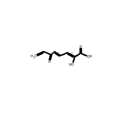 C=CC(=O)/C=C/C=C(\O)C(=O)O